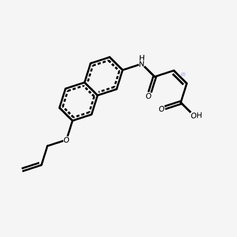 C=CCOc1ccc2ccc(NC(=O)/C=C\C(=O)O)cc2c1